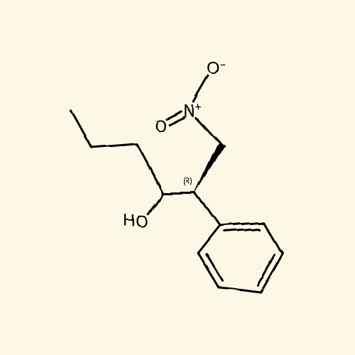 CCCC(O)[C@@H](C[N+](=O)[O-])c1ccccc1